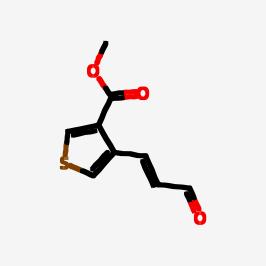 COC(=O)c1cscc1/C=C/C=O